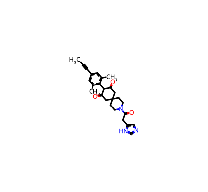 CC#Cc1cc(C)c(C2C(=O)CC3(CCN(C(=O)Cc4cnc[nH]4)CC3)CC2=O)c(C)c1